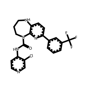 O=C(Nc1ccncc1Cl)N1CCCNc2ccc(-c3cccc(C(F)(F)F)c3)nc21